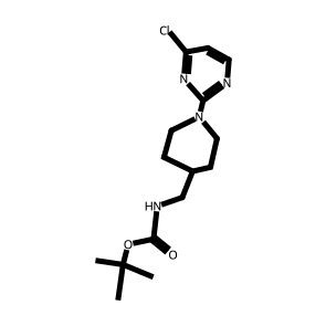 CC(C)(C)OC(=O)NCC1CCN(c2nccc(Cl)n2)CC1